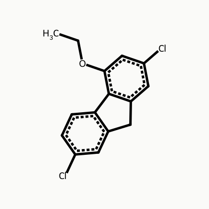 CCOc1cc(Cl)cc2c1-c1ccc(Cl)cc1C2